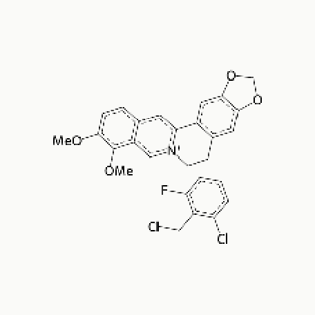 COc1ccc2cc3[n+](cc2c1OC)CCc1cc2c(cc1-3)OCO2.Fc1cccc(Cl)c1CCl